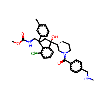 CNCc1ccc(C(=O)N2CCC[C@@H]([C@@](O)(CCCNC(=O)OC)c3cccc(Cl)c3Cc3cccc(C)c3)C2)cc1